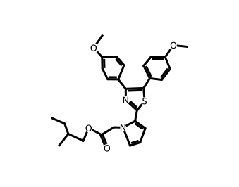 CCC(C)COC(=O)Cn1cccc1-c1nc(-c2ccc(OC)cc2)c(-c2ccc(OC)cc2)s1